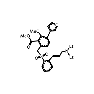 CCN(CC)CC=Cc1ccccc1S(=O)(=O)Cc1ccc(-c2ccoc2)c(OC)c1C(=O)OC